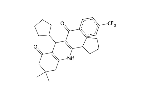 CC1(C)CC(=O)C2=C(C1)NC(C1CCCC1)=C(C(=O)c1ccc(C(F)(F)F)cc1)C2C1CCCC1